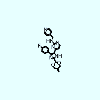 C=C1COC(c2nc(-c3ccc(F)cc3)c(-c3ccnc(NCc4ccncc4)n3)[nH]2)OC1